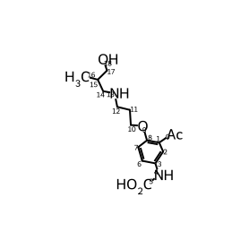 CC(=O)c1cc(NC(=O)O)ccc1OCCCNCC(C)CO